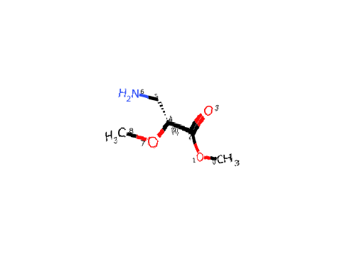 COC(=O)[C@@H](CN)OC